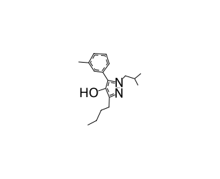 CCCCc1nn(CC(C)C)c(-c2cccc(C)c2)c1O